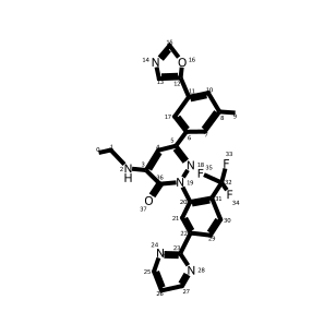 CCNc1cc(-c2cc(C)cc(-c3cnco3)c2)nn(-c2cc(-c3ncccn3)ccc2C(F)(F)F)c1=O